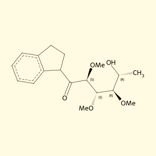 CO[C@@H]([C@H](OC)[C@@H](C)O)[C@H](OC)C(=O)C1CCc2ccccc21